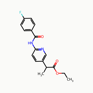 CCOC(=O)C(C)c1ccc(NC(=O)c2ccc(F)cc2)nc1